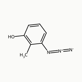 Cc1c(O)cccc1N=[N+]=[N-]